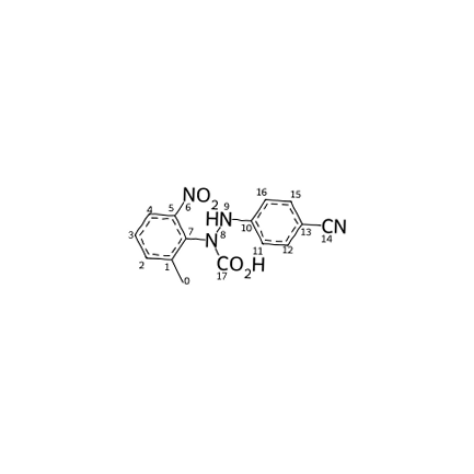 Cc1cccc([N+](=O)[O-])c1N(Nc1ccc(C#N)cc1)C(=O)O